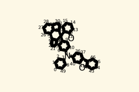 c1ccc(N(c2ccc3c(c2)Oc2ccccc2C32c3ccccc3-c3cccc4cccc2c34)c2ccc3c(c2)oc2ccccc23)cc1